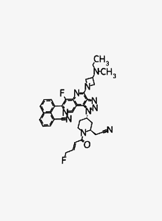 CCN(C)C1CN(c2nc3c(F)c(-c4cccc5cccc(C#N)c45)ncc3c3c2nnn3[C@H]2CCN(C(=O)/C=C/CF)[C@H](CC#N)C2)C1